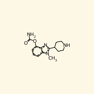 Cn1c(C2CCNCC2)nc2c(OC(N)=O)cccc21